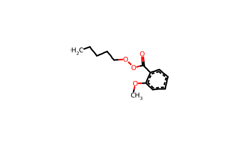 [CH2]CCCCOOC(=O)c1ccccc1OC